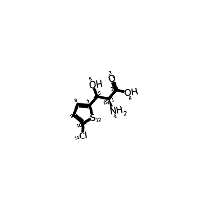 N[C@H](C(=O)O)C(O)c1ccc(Cl)s1